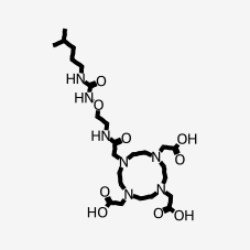 CC(C)CCCNC(=O)NOCCNC(=O)CN1CCN(CC(=O)O)CCN(CC(=O)O)CCN(CC(=O)O)CC1